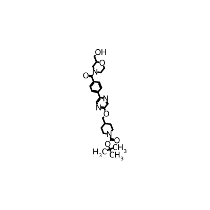 CC(C)(C)OC(=O)N1CCC(COc2cnc(-c3ccc(C(=O)N4CCOC(CO)C4)cc3)cn2)CC1